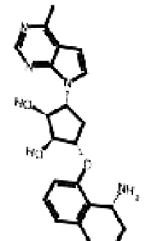 Cc1ncnc2c1ccn2[C@@H]1C[C@H](Oc2cccc3c2[C@H](N)CCC3)[C@@H](O)[C@H]1O